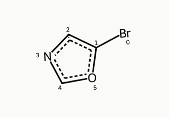 Brc1[c]nco1